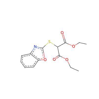 CCOC(=O)C(Sc1nc2ccccc2o1)C(=O)OCC